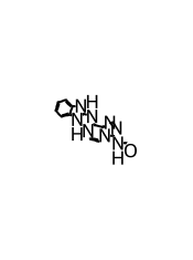 O=CNc1nnc2c(Nc3nc4ccccc4[nH]3)nccn12